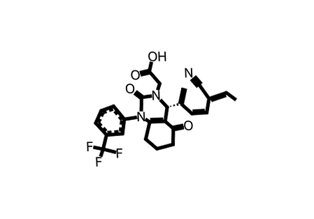 C=C(/C=C\C(C#N)=C/C)[C@@H]1C2=C(CCCC2=O)N(c2cccc(C(F)(F)F)c2)C(=O)N1CC(=O)O